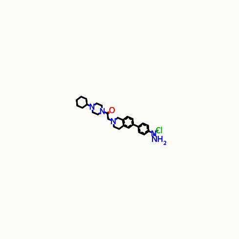 NN(Cl)c1ccc(-c2ccc3c(c2)CCN(CC(=O)N2CCN(C4CCCCC4)CC2)C3)cc1